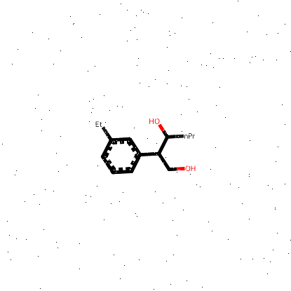 CCCC(O)C(CO)c1cccc(CC)c1